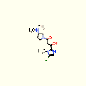 CN(C)C1CCN(C(=O)CC(O)c2ncc(Cl)n2C)C1